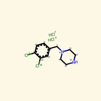 Cl.Cl.Clc1ccc(CN2CCNCC2)cc1Cl